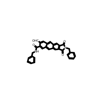 O=Cc1cc2cc3cc4c(cc3cc2cc1C(=O)NCc1ccccc1)C(=O)N(Cc1ccccc1)C4=O